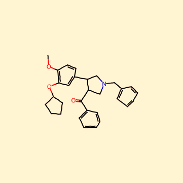 COc1ccc(C2CN(Cc3ccccc3)CC2C(=O)c2ccccc2)cc1OC1CCCC1